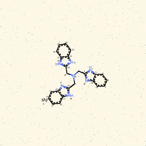 [Mg].c1ccc2[nH]c(CN(Cc3nc4ccccc4[nH]3)Cc3nc4ccccc4[nH]3)nc2c1